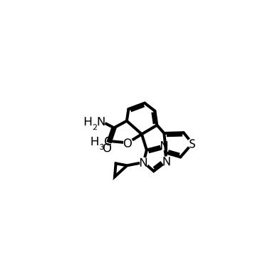 COC1(c2nncn2C2CC2)C(c2ccsc2)=CC=CC1C(N)=O